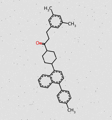 Cc1ccc(-c2ccc(C3CCC(C(=O)CCc4cc(C)cc(C)c4)CC3)c3ccccc23)cc1